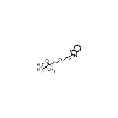 CC(C)(C)C(=O)OCCOCCSc1nc2ccccc2s1